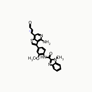 COc1cc(-c2csc3c(/C=C/C=O)cnc(N)c23)ccc1NC(=O)c1nc2ccccc2n1C